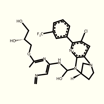 C=N/C=C(\N=C(/C)OC[C@H](O)CO)NC(O)N1c2nc(-c3cccc(C(F)(F)F)c3)c(Cl)cc2N2CC[C@H]1C2